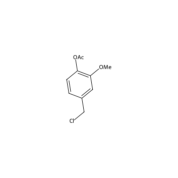 COc1cc(CCl)ccc1OC(C)=O